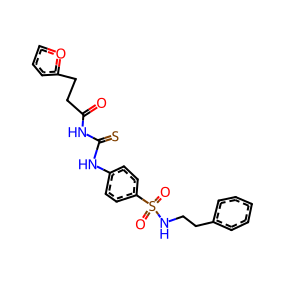 O=C(CCc1ccco1)NC(=S)Nc1ccc(S(=O)(=O)NCCc2ccccc2)cc1